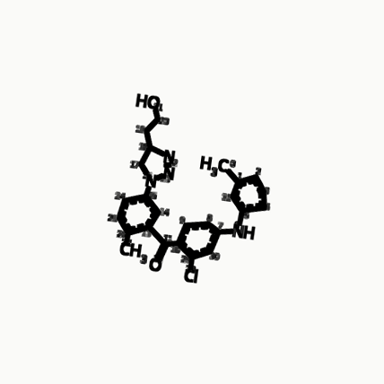 Cc1cccc(Nc2ccc(C(=O)c3cc(N4CC(CCO)N=N4)ccc3C)c(Cl)c2)c1